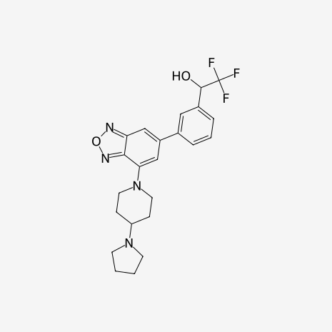 OC(c1cccc(-c2cc(N3CCC(N4CCCC4)CC3)c3nonc3c2)c1)C(F)(F)F